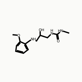 CNC(=O)NCC(O)CNc1ccccc1OC